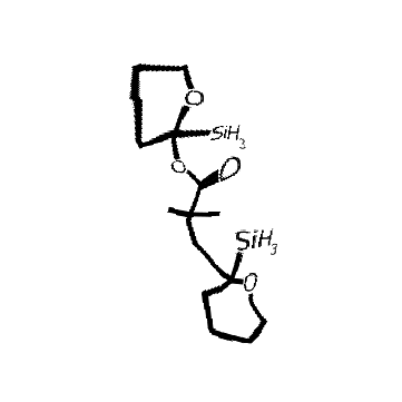 CC(C)(CC1([SiH3])CCCCO1)C(=O)OC1([SiH3])CCCCO1